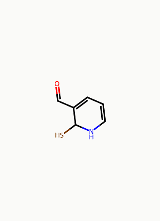 O=CC1=CC=CNC1S